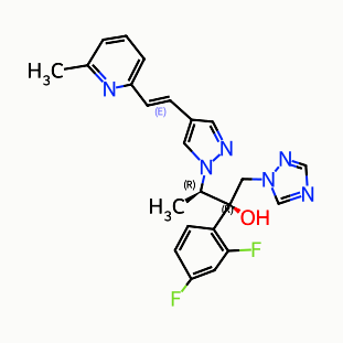 Cc1cccc(/C=C/c2cnn([C@H](C)[C@](O)(Cn3cncn3)c3ccc(F)cc3F)c2)n1